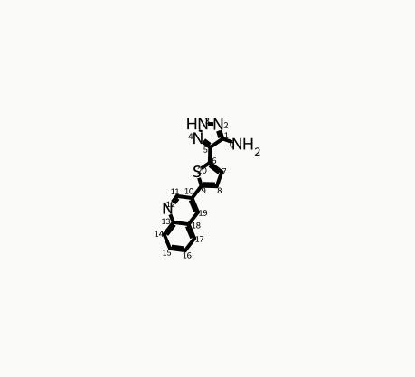 Nc1n[nH]nc1-c1ccc(-c2cnc3ccccc3c2)s1